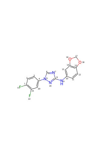 Fc1ccc(-n2cnc(Nc3ccc4c(c3)OCO4)n2)cc1F